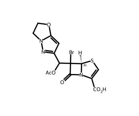 CC(=O)OC(c1cc2n(n1)CCO2)C1(Br)C(=O)N2C(C(=O)O)=CS[C@@H]21